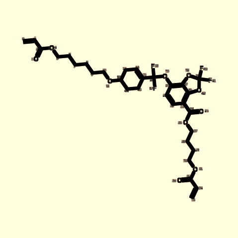 C=CC(=O)OCCCCCCOC1CC=C(C(F)(F)Oc2ccc(C(=O)OCCCCOC(=O)C=C)c3c2OC(F)(F)O3)CC1